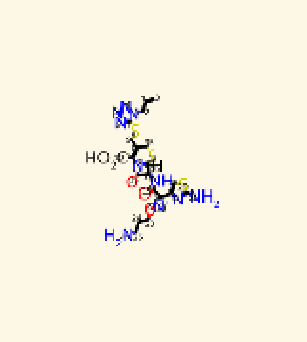 C=CCn1nnnc1SCC1=C(C(=O)O)N2C(=O)C(NC(=O)/C(=N\OCCCN)c3csc(N)n3)[C@H]2SC1